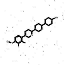 CCCC1CCC(C2CCC(C3CC=C(c4ccc(OCC)c(F)c4F)CO3)CC2)CC1